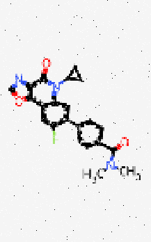 CN(C)C(=O)c1ccc(-c2cc3c(cc2F)c2ocnc2c(=O)n3C2CC2)cc1